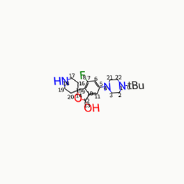 CC(C)(C)N1CCN(c2cc(F)c3c(c2)C(O)OC32CCNCC2)CC1